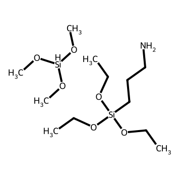 CCO[Si](CCCN)(OCC)OCC.CO[SiH](OC)OC